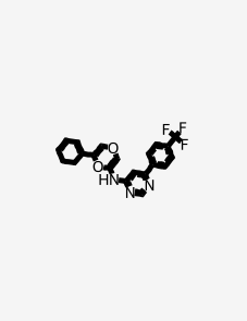 FC(F)(F)c1ccc(-c2cc(NC3=COC=C(C4=CC=CCC4)O3)ncn2)cc1